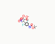 COC(=O)C(C(=O)OC)C(C[N+](=O)[O-])c1c(F)cc(N(C)C(=O)OC(C)(C)C)cc1F